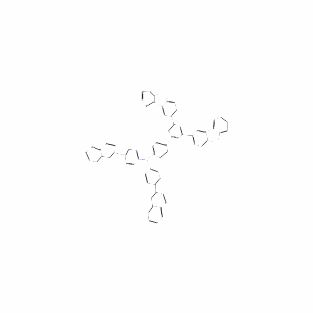 c1ccc2cc(-c3ccc(N(c4ccc(-c5cc(-c6ccc7oc8ccccc8c7c6)cc(-c6ccc7sc8ccccc8c7c6)c5)cc4)c4ccc(-c5ccc6ccccc6c5)cc4)cc3)ccc2c1